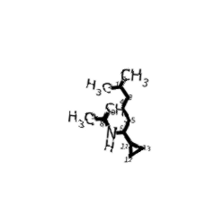 CC(C)CCCC(NC(C)C)C1CC1